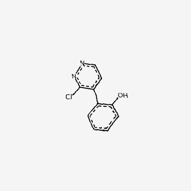 Oc1ccccc1-c1ccnnc1Cl